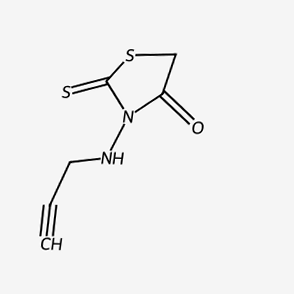 C#CCNN1C(=O)CSC1=S